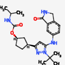 CC(C)NC(=O)O[C@@H]1CC[C@H](c2cc(Nc3ccc4c(c3)C(=O)NC4)n(C(C)(C)C)n2)C1